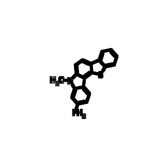 Cn1c2cc(P)ccc2c2c3sc4ccccc4c3ccc21